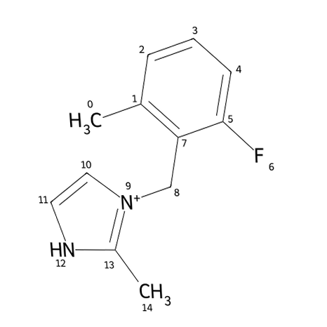 Cc1cccc(F)c1C[n+]1cc[nH]c1C